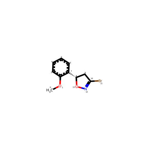 COc1ccccc1[C@@H]1CC(Br)=NO1